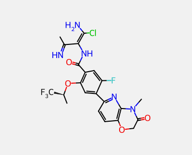 CC(=N)/C(NC(=O)c1cc(F)c(-c2ccc3c(n2)N(C)C(=O)CO3)cc1O[C@@H](C)C(F)(F)F)=C(\N)Cl